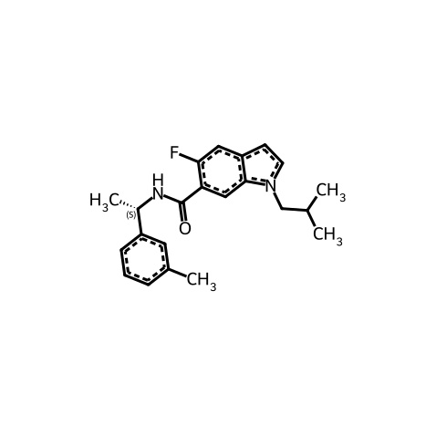 Cc1cccc([C@H](C)NC(=O)c2cc3c(ccn3CC(C)C)cc2F)c1